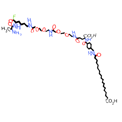 CC(N)C(=O)NC(CCCCNC(=O)COCCOCCNC(=O)COCCOCCNC(=O)CCC(NC(=O)C1CCC(CNC(=O)CCCCCCCCCCCCCCCCCCC(=O)O)CC1)C(=O)O)C(=O)F